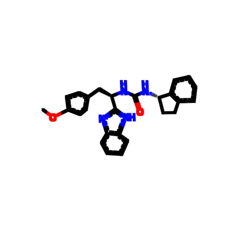 COc1ccc(C[C@@H](NC(=O)N[C@H]2CCc3ccccc32)c2nc3ccccc3[nH]2)cc1